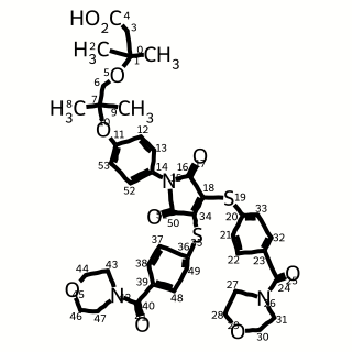 CC(C)(CC(=O)O)OCC(C)(C)Oc1ccc(N2C(=O)C(Sc3ccc(C(=O)N4CCOCC4)cc3)=C(Sc3ccc(C(=O)N4CCOCC4)cc3)C2=O)cc1